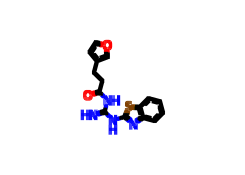 N=C(NC(=O)CCc1ccoc1)Nc1nc2ccccc2s1